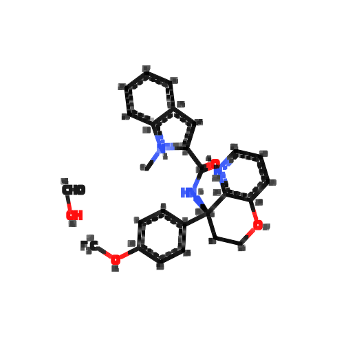 Cn1c(C(=O)N[C@]2(c3ccc(OC(F)(F)F)cc3)CCOc3cccnc32)cc2ccccc21.O=CO